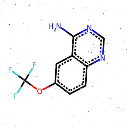 Nc1ncnc2ccc(OC(F)(F)F)cc12